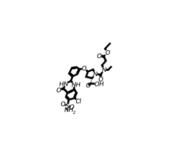 CCOC(=O)CCN(CC)C(=O)N1CC(Oc2cccc(C3NC(=O)c4cc(S(N)(=O)=O)c(Cl)cc4N3)c2)C[C@H]1C(=O)O